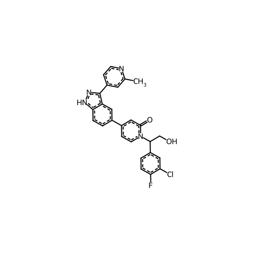 Cc1cc(-c2n[nH]c3ccc(-c4ccn(C(CO)c5ccc(F)c(Cl)c5)c(=O)c4)cc23)ccn1